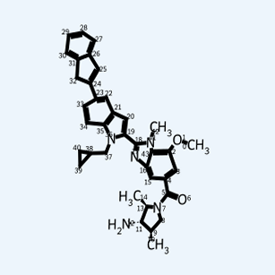 COc1cc(C(=O)N2C[C@@H](C)[C@H](N)[C@H]2C)cc2nc(-c3cc4cc(C5=Cc6ccccc6C5)ccc4n3CC3CC3)n(C)c12